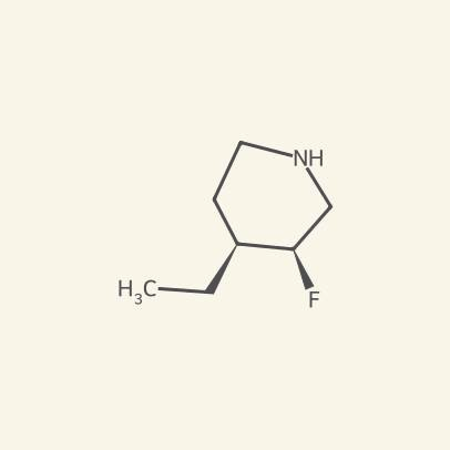 CC[C@H]1CCNC[C@H]1F